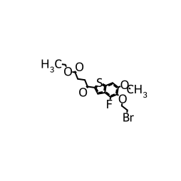 CCOC(=O)CCC(=O)c1cc2c(F)c(OCCBr)c(OC)cc2s1